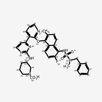 Cc1ccc2c(NS(=O)(=O)N(C)Cc3ccccc3)c(F)ccc2c1Oc1ncccc1-c1ccnc(N[C@H]2CCCN(C(=O)O)C2)n1